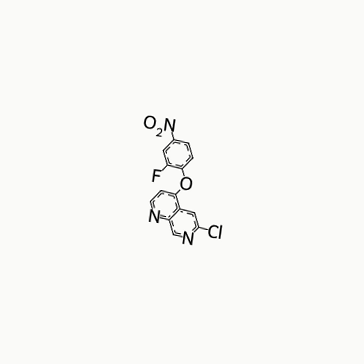 O=[N+]([O-])c1ccc(Oc2ccnc3cnc(Cl)cc23)c(F)c1